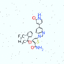 C[C@@H](Oc1cc(-n2cnc3cc(-c4cc[nH]c(=O)c4)ccc32)sc1C(N)=O)c1ccccc1C(F)(F)F